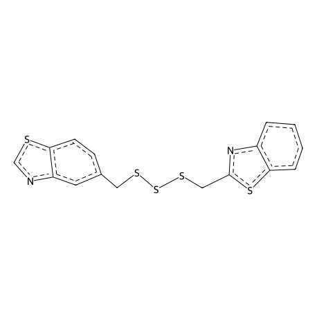 c1ccc2sc(CSSSCc3ccc4scnc4c3)nc2c1